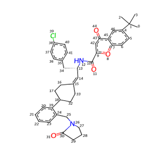 CC(C)(C)c1ccc2oc(C(=O)N[C@H](C=C3CCC(c4ccccc4CN4CCCC4=O)CC3)Cc3ccc(Cl)cc3)cc(=O)c2c1